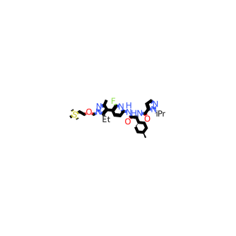 CCc1c(-c2ccc(NC(=O)[C@@H](NC(=O)c3ccnn3C(C)C)[C@H]3CC[C@H](C)CC3)nc2F)c(C)nn1COCCS(C)(C)C